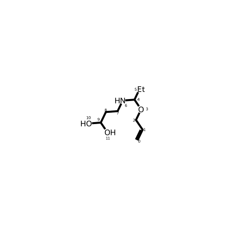 C=CCOC(CC)NCCC(O)O